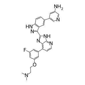 CN(C)CCOc1cc(F)cc(-c2ccnc3[nH]c(-c4n[nH]c5ccc(-c6cncc(N)c6)cc45)nc23)c1